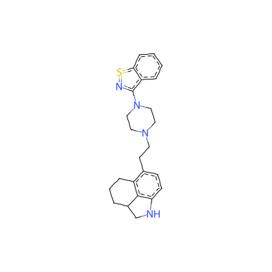 c1ccc2c(N3CCN(CCc4ccc5c6c4CCCC6CN5)CC3)nsc2c1